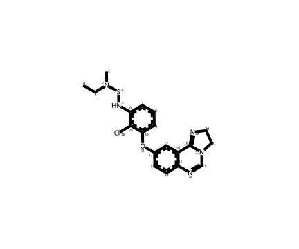 CCN(C)SNc1cccc(Oc2ccc3c(c2)C2=NCCN2C=N3)c1Cl